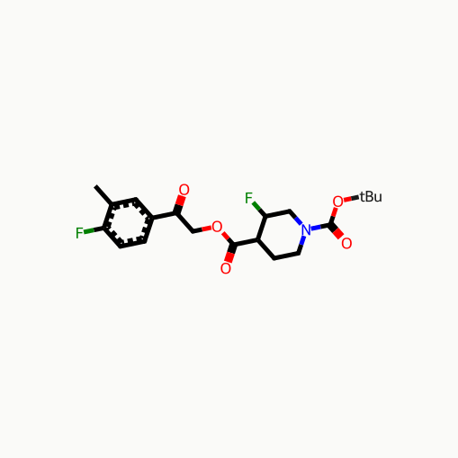 Cc1cc(C(=O)COC(=O)C2CCN(C(=O)OC(C)(C)C)CC2F)ccc1F